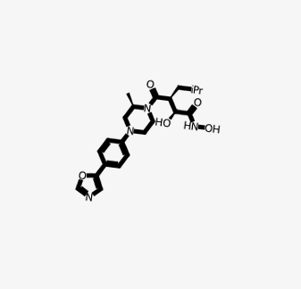 CC(C)C[C@H](C(=O)N1CCN(c2ccc(-c3cnco3)cc2)C[C@H]1C)[C@H](O)C(=O)NO